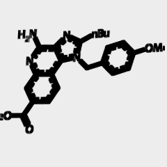 CCCCc1nc2c(N)nc3cc(C(=O)OC)ccc3c2n1Cc1ccc(OC)cc1